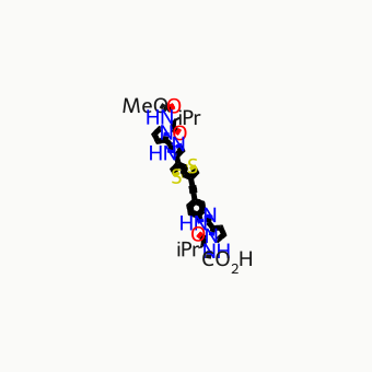 COC(=O)N[C@H](C(=O)N1CCCC1c1ncc(-c2csc3c(C#Cc4ccc5[nH]c(C6CCCN6C(=O)[C@H](NC(=O)O)C(C)C)nc5c4)csc23)[nH]1)C(C)C